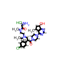 CC(C)N(CCN(C)C(=O)CN)CC(C(=O)N1CCN(c2ncnc3c2[C@H](C)C[C@H]3O)CC1)c1ccc(Cl)cc1.Cl